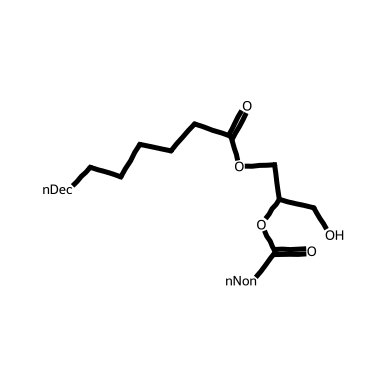 CCCCCCCCCCCCCCCC(=O)OCC(CO)OC(=O)CCCCCCCCC